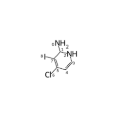 NC1NC=CC(Cl)=C1I